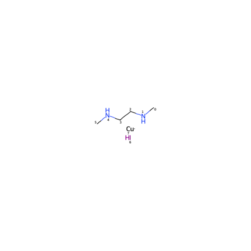 CNCCNC.I.[Cu]